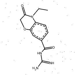 CCN1C(=O)COc2cc(C(=O)NC(=N)N)ccc21